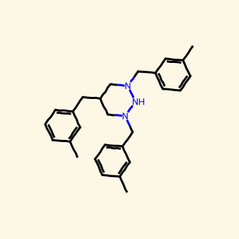 Cc1cccc(CC2CN(Cc3cccc(C)c3)NN(Cc3cccc(C)c3)C2)c1